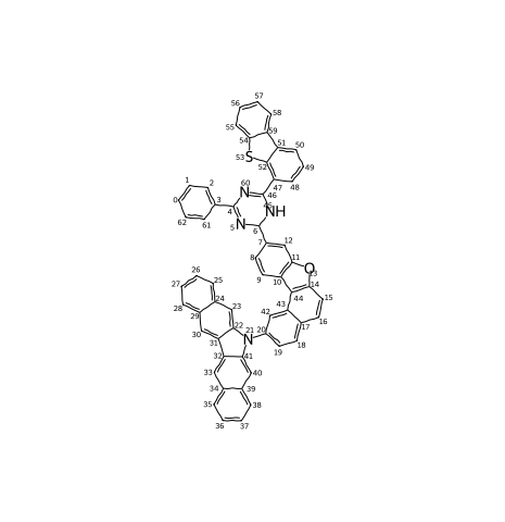 c1ccc(C2=NC(c3ccc4c(c3)oc3ccc5ccc(-n6c7cc8ccccc8cc7c7cc8ccccc8cc76)cc5c34)NC(c3cccc4c3sc3ccccc34)=N2)cc1